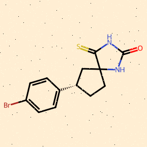 O=C1NC(=S)C2(CC[C@H](c3ccc(Br)cc3)C2)N1